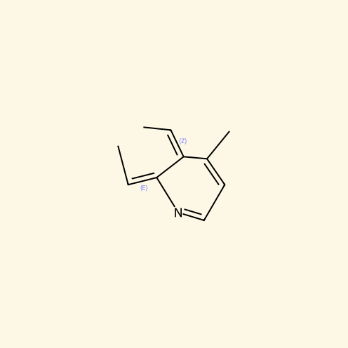 C/C=c1/c(C)ccn/c1=C/C